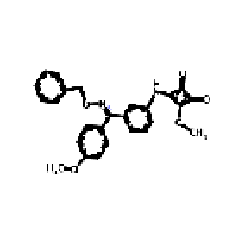 COc1ccc(/C(=N\OCc2ccccc2)c2cccc(Nc3c(OC)c(=O)c3=O)c2)cc1